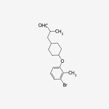 Cc1c(Br)cccc1OC1CCC(CC(C)C=O)CC1